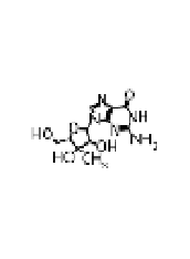 C[C@]1(O)C(O)[C@H](n2cnc3c(=O)[nH]c(N)nc32)O[C@@H]1CO